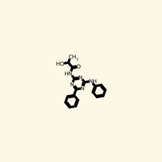 CC(O)C(=O)Nc1nc(Nc2ccccc2)nc(-c2ccccc2)n1